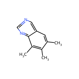 Cc1cc2cncnc2c(C)c1C